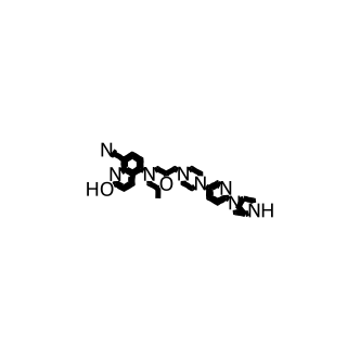 CC1CN(c2ccc(C#N)c3nc(O)ccc23)CC(CN2CCN(c3ccc(N4CC5CC4CN5)nc3)CC2)O1